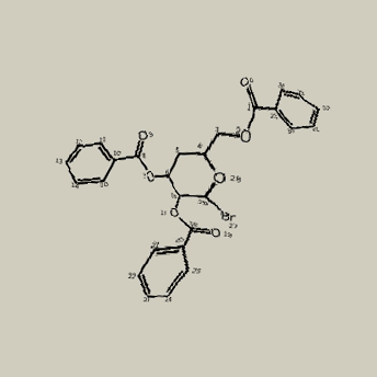 O=C(OCC1CC(OC(=O)c2ccccc2)C(OC(=O)c2ccccc2)C(Br)O1)c1ccccc1